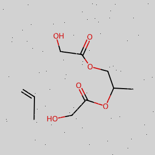 C=CC.CC(COC(=O)CO)OC(=O)CO